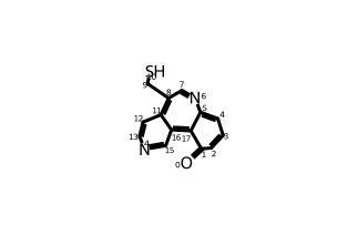 O=c1cccc2ncc(CS)c3ccncc3c1-2